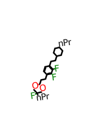 CCCC1CCC(CCc2ccc(CCC3OCC(F)(CCC)CO3)c(F)c2F)CC1